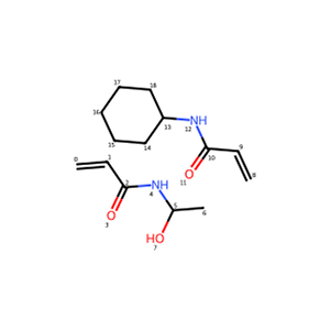 C=CC(=O)NC(C)O.C=CC(=O)NC1CCCCC1